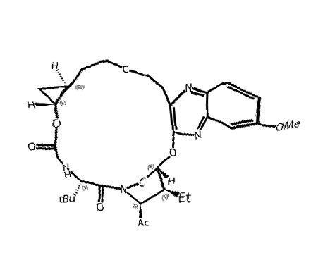 CC[C@@H]1[C@@H]2CN(C(=O)[C@H](C(C)(C)C)NC(=O)O[C@@H]3C[C@H]3CCCCCc3nc4ccc(OC)cc4nc3O2)[C@@H]1C(C)=O